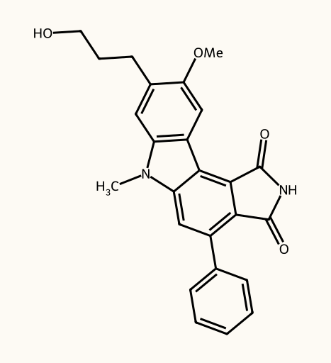 COc1cc2c3c4c(c(-c5ccccc5)cc3n(C)c2cc1CCCO)C(=O)NC4=O